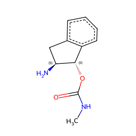 CNC(=O)O[C@H]1c2ccccc2C[C@@H]1N